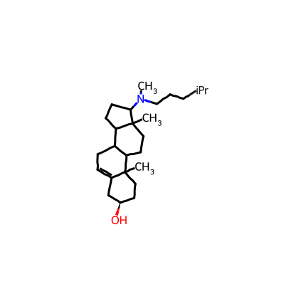 CC(C)CCCN(C)C1CCC2C3CC=C4C[C@H](O)CCC4(C)C3CCC21C